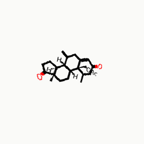 CC(=O)OC[C@@]12C(=CC(=O)CC1C)CC(C)[C@@H]1[C@H]2CC[C@]2(C)C(=O)CC[C@@H]12